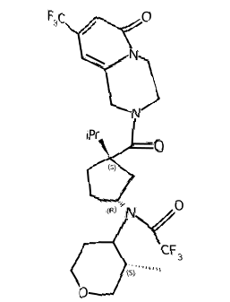 CC(C)[C@]1(C(=O)N2CCn3c(cc(C(F)(F)F)cc3=O)C2)CC[C@@H](N(C(=O)C(F)(F)F)C2CCOC[C@H]2C)C1